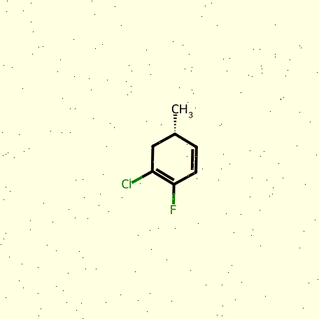 C[C@@H]1C=CC(F)=C(Cl)C1